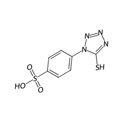 O=S(=O)(O)c1ccc(-n2nnnc2S)cc1